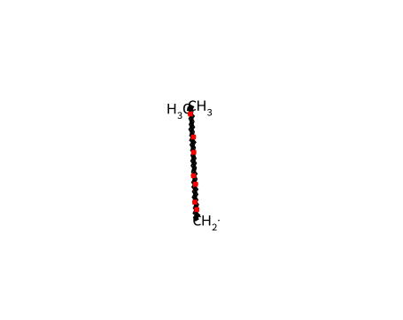 [CH2]CCCCCCCCCCCCCCCCCCCCCCCCCCCCCCCCCCCCCCCCCCC(C)C